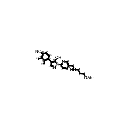 COCCCNCc1ccc(-n2ncc(-c3ccc(C#N)c(C)c3C)c2O)nc1